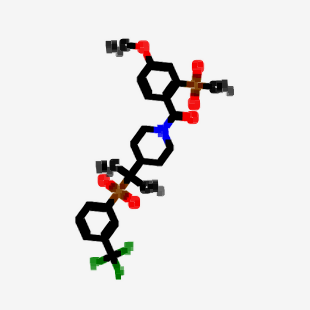 COc1ccc(C(=O)N2CCC(C(C)(C)S(=O)(=O)c3cccc(C(F)(F)F)c3)CC2)c(S(C)(=O)=O)c1